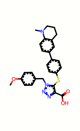 COc1ccc(Cn2nnc(C(=O)O)c2Sc2ccc(-c3ccc4c(c3)CCCN4C)cc2)cc1